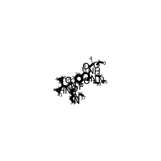 CCO[C@@H](C)C(=O)N[C@@H](C(=O)N1CCN(C)CC1)[C@@H](C)c1ccc(NC(=O)[C@@H](NC(=O)c2ccnn2CC)C(C2CC2)C2CC2)c(F)c1